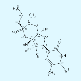 CC1=CN([C@@H]2O[C@@H]3CO[P@](=O)(OC(C)C)O[C@H]3[C@]2(F)Cl)C(=O)NC1O